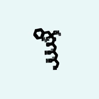 CC(C)(Cc1ccccc1)OC(=O)C[C@H](O)C[C@H](O)CBr